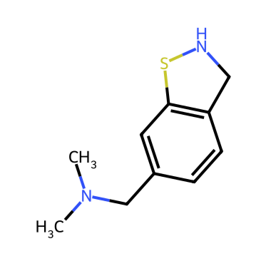 CN(C)Cc1ccc2c(c1)SNC2